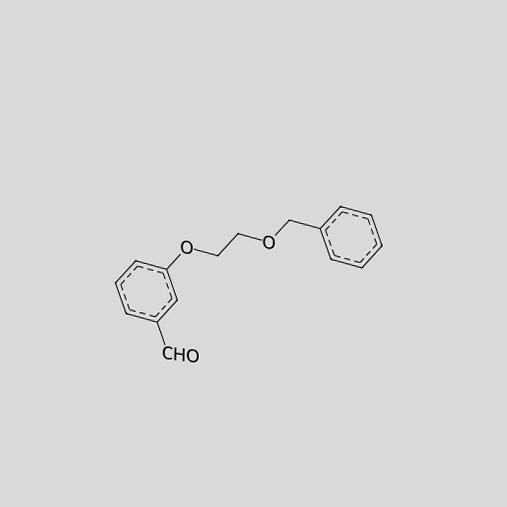 O=Cc1cccc(OCCOCc2ccccc2)c1